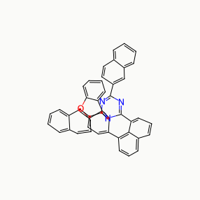 c1ccc2cc(-c3nc(-c4ccc5ccccc5c4)nc(-c4cccc5cccc(-c6ccc7oc8ccccc8c7c6)c45)n3)ccc2c1